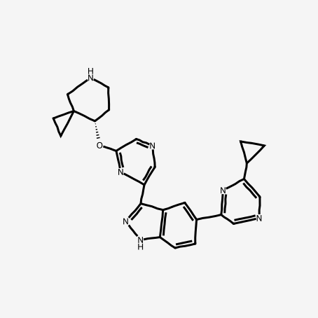 c1cc2[nH]nc(-c3cncc(O[C@H]4CCNCC45CC5)n3)c2cc1-c1cncc(C2CC2)n1